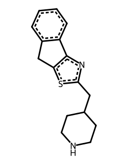 c1ccc2c(c1)Cc1sc(CC3CCNCC3)nc1-2